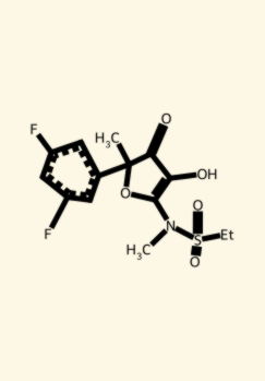 CCS(=O)(=O)N(C)C1=C(O)C(=O)C(C)(c2cc(F)cc(F)c2)O1